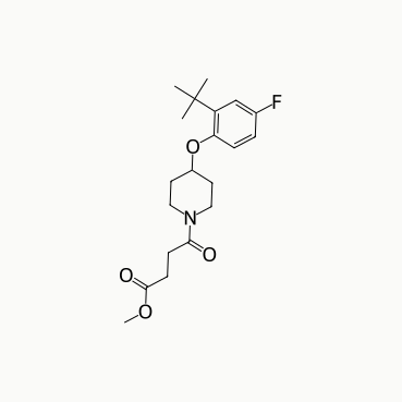 COC(=O)CCC(=O)N1CCC(Oc2ccc(F)cc2C(C)(C)C)CC1